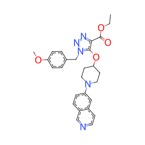 CCOC(=O)c1nnn(Cc2ccc(OC)cc2)c1OC1CCN(c2ccc3cnccc3c2)CC1